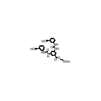 C#Cc1cccc(NC(=O)Nc2cc(NC(=O)Nc3cccc(C#C)c3)cc(C(=O)OCCCCCCCCCCCC)c2)c1